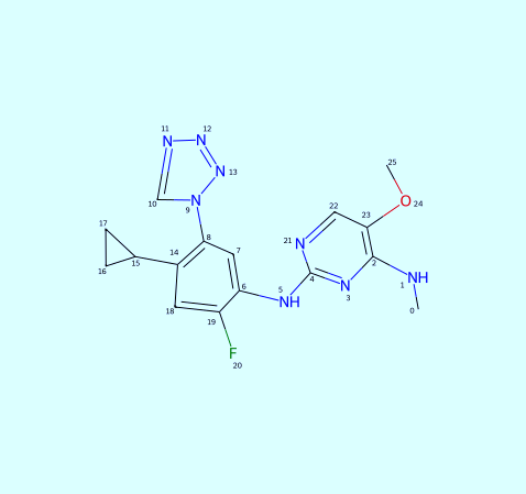 CNc1nc(Nc2cc(-n3cnnn3)c(C3CC3)cc2F)ncc1OC